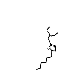 CCCCCCc1ccc(CN(CC)CC)o1